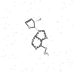 COc1ncnc2c1ncn2[C@@H]1OC=C[C@@H]1F